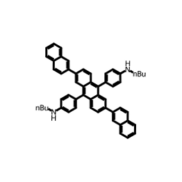 CCCCNc1ccc(-c2c3ccc(-c4ccc5ccccc5c4)cc3c(-c3ccc(NCCCC)cc3)c3ccc(-c4ccc5ccccc5c4)cc23)cc1